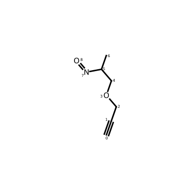 C#CCOCC(C)N=O